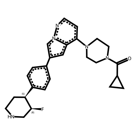 O=C(C1CC1)N1CCN(c2ccnn3cc(-c4ccc([C@@H]5CCNC[C@@H]5F)cc4)cc23)CC1